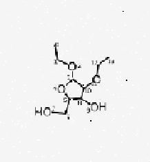 CCOC1OC(CO)C(O)C1OCC